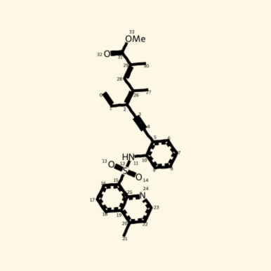 C=C/C(C#Cc1ccccc1NS(=O)(=O)c1cccc2c(C)ccnc12)=C(C)\C=C(/C)C(=O)OC